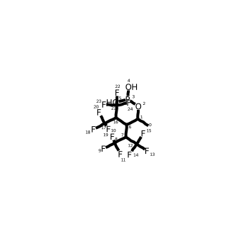 CC(OP(O)O)C(C(C(F)(F)F)C(F)(F)F)C(C(F)(F)F)C(F)(F)F